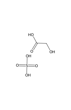 O=C(O)CO.O=S(=O)(O)O